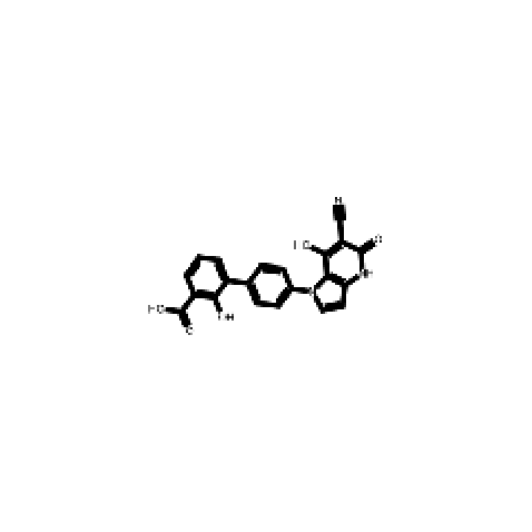 N#Cc1c(O)c2c(ccn2-c2ccc(-c3cccc(C(=O)O)c3O)cc2)[nH]c1=O